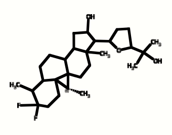 CC1C2CCC3C4CC(O)C(C5CCC(C(C)(C)O)O5)C4(C)CCC34[C@H](C)C24CCC1(F)F